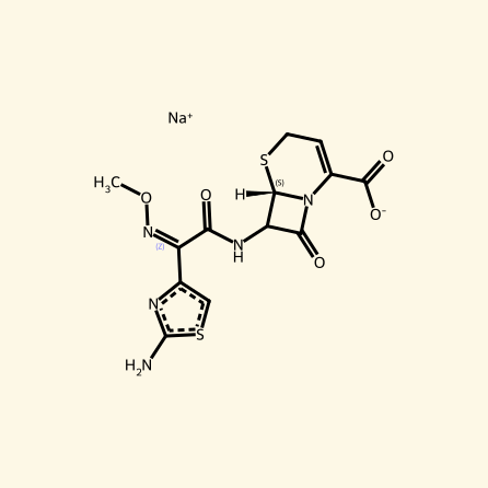 CO/N=C(\C(=O)NC1C(=O)N2C(C(=O)[O-])=CCS[C@@H]12)c1csc(N)n1.[Na+]